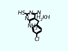 Nc1nc(S)nc(N)c1Cc1ccc(Cl)cc1.[KH]